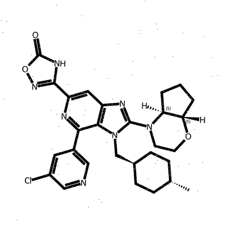 C[C@H]1CC[C@H](Cn2c(N3CCO[C@H]4CCC[C@@H]43)nc3cc(-c4noc(=O)[nH]4)nc(-c4cncc(Cl)c4)c32)CC1